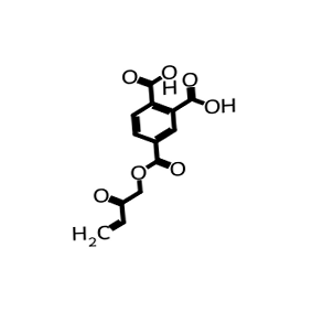 C=CC(=O)COC(=O)c1ccc(C(=O)O)c(C(=O)O)c1